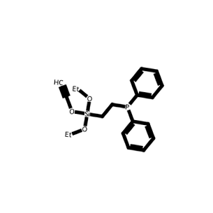 C#CO[Si](CCP(c1ccccc1)c1ccccc1)(OCC)OCC